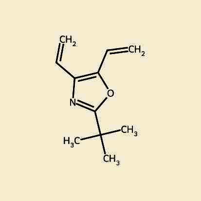 C=Cc1nc(C(C)(C)C)oc1C=C